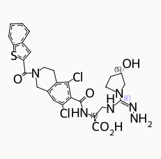 N/N=C(\NC[C@H](NC(=O)c1c(Cl)cc2c(c1Cl)CCN(C(=O)c1cc3ccccc3s1)C2)C(=O)O)N1CC[C@H](O)C1